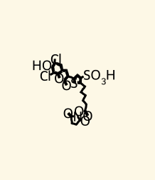 O=C(CCCCCc1sc(-c2cc3cc(Cl)c(O)c(Cl)c3oc2=O)cc1S(=O)(=O)O)ON1C(=O)CCC1=O